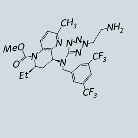 CC[C@@H]1C[C@H](N(Cc2cc(C(F)(F)F)cc(C(F)(F)F)c2)c2nnn(CCN)n2)c2nc(C)ccc2N1C(=O)OC